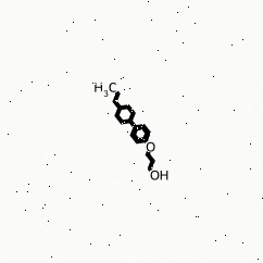 CCCC1CCC(c2ccc(OCCCO)cc2)CC1